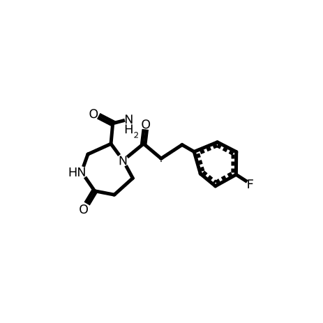 NC(=O)C1CNC(=O)CCN1C(=O)[CH]Cc1ccc(F)cc1